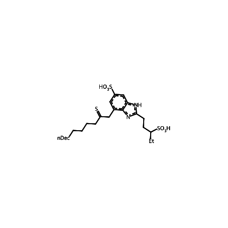 CCCCCCCCCCCCCCC(=S)Cc1cc(S(=O)(=O)O)cc2[nH]c(CCC(CC)S(=O)(=O)O)nc12